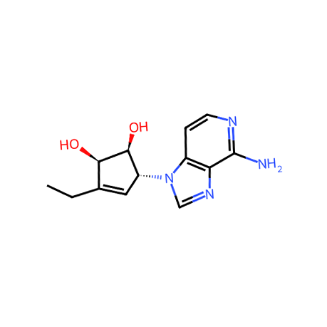 CCC1=C[C@@H](n2cnc3c(N)nccc32)[C@H](O)[C@@H]1O